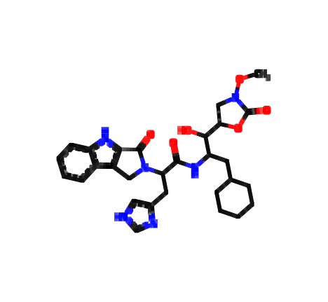 CON1CC(C(O)C(CC2CCCCC2)NC(=O)C(Cc2c[nH]cn2)N2Cc3c([nH]c4ccccc34)C2=O)OC1=O